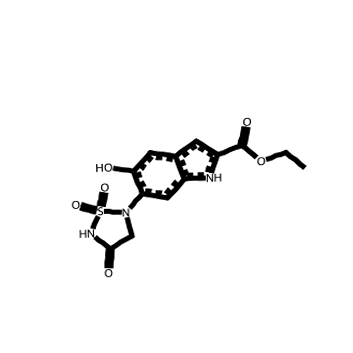 CCOC(=O)c1cc2cc(O)c(N3CC(=O)NS3(=O)=O)cc2[nH]1